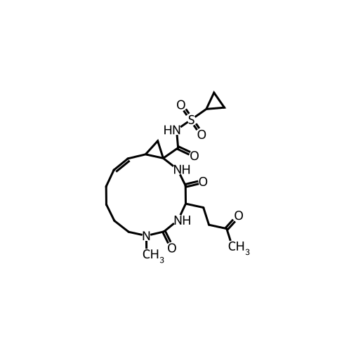 CC(=O)CCC1NC(=O)N(C)CCCCC=CC2CC2(C(=O)NS(=O)(=O)C2CC2)NC1=O